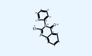 CCc1nc2ccccc2c(=O)n1-c1ccccn1